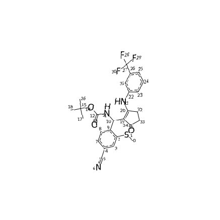 CSc1cc(C#N)ccc1C(NC(=O)OC(C)(C)C)C1=C(Nc2cccc(C(F)(F)F)c2)CCC1=O